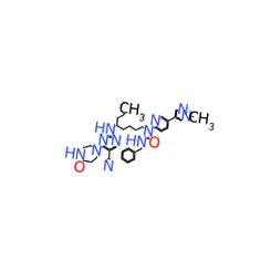 CCCC(CCCCN(C(=O)NCc1ccccc1)c1ccc(-c2cnn(C)c2)cn1)Nc1ncc(C#N)c(N2CCNC(=O)CC2)n1